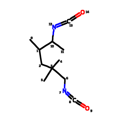 CC(CC(C)(C)CN=C=O)C(C)N=C=O